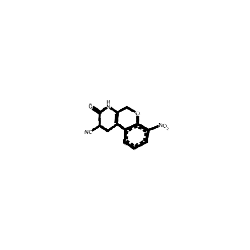 N#CC1CC2=C(COc3c2cccc3[N+](=O)[O-])NC1=O